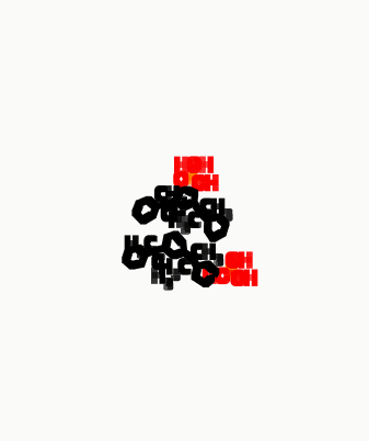 CC(C)(c1ccccc1)c1cccc(C(C)(C)c2ccccc2)c1.CC(C)(c1ccccc1)c1cccc(C(C)(C)c2ccccc2)c1.OP(O)O.OP(O)O